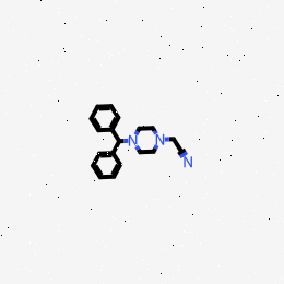 N#CCN1CCN(C(c2ccccc2)c2ccccc2)CC1